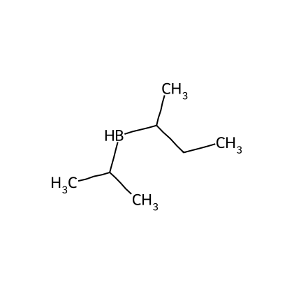 CCC(C)BC(C)C